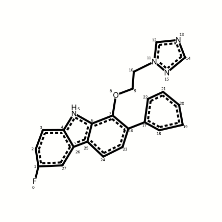 Fc1ccc2[nH]c3c(OCCn4cncn4)c(-c4ccccc4)ccc3c2c1